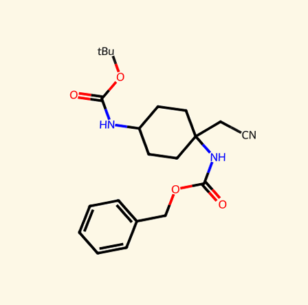 CC(C)(C)OC(=O)NC1CCC(CC#N)(NC(=O)OCc2ccccc2)CC1